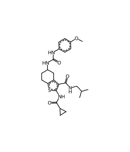 COc1ccc(NC(=O)NC2CCc3sc(NC(=O)C4CC4)c(C(=O)NCC(C)C)c3C2)cc1